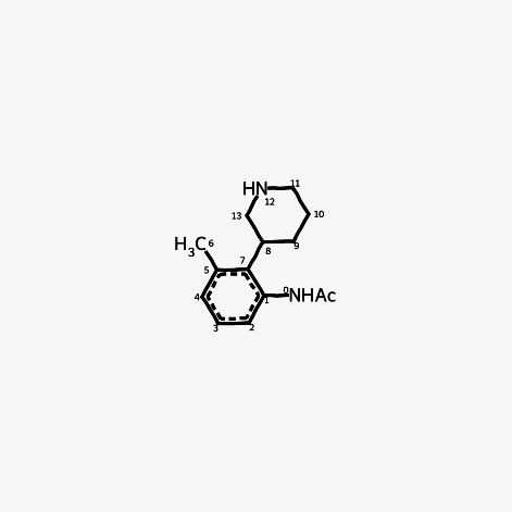 CC(=O)Nc1cccc(C)c1C1CCCNC1